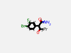 CC(C)C(=O)C(C(N)=O)c1ccc(Br)c(F)c1